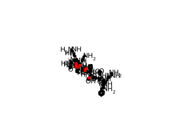 C[C@H](NC(=O)[C@H](C)NC(=O)[C@H](CCCNC(=N)N)NC(=O)[C@H](CCCCN)NC(=O)[C@@H]1CCCN1C(=O)[C@H](CCCCN)NC(=O)[C@@H]1CCCN1C(=O)[C@@H](NC(=O)[C@@H](NC(=O)CNC(=O)[C@H](CCC(=O)O)NC(=O)[C@H](CCCNC(=N)N)NC(=O)[C@@H](N)Cc1ccccc1)[C@@H](C)O)[C@@H](C)O)C(=O)O